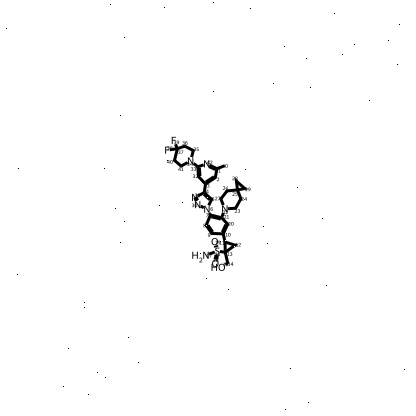 Cc1cc(-c2cn(-c3ccc(C4CC4(CO)S(N)(=O)=O)cc3N3CCC4(CC3)CC4)nn2)cc(N2CCC(F)(F)CC2)n1